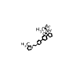 CC(=O)[C@H](C)NC(=O)C1(c2ccc(-c3ccc(CCN4CCC[C@H]4C)cc3)cc2)CCCC1